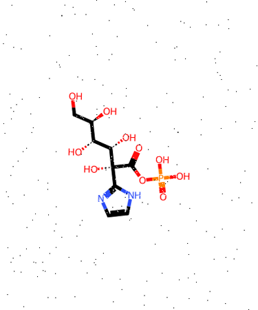 O=C(OP(=O)(O)O)[C@@](O)(c1ncc[nH]1)[C@@H](O)[C@H](O)[C@H](O)CO